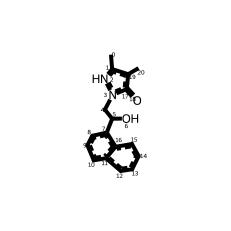 Cc1[nH]n(CC(O)c2cccc3ccccc23)c(=O)c1C